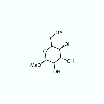 CO[C@H]1OC(COC(C)=O)[C@@H](O)[C@H](O)C1O